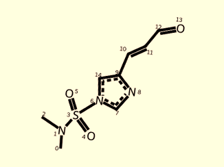 CN(C)S(=O)(=O)n1cnc(C=CC=O)c1